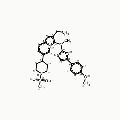 CCc1nc2ccc(C3CCN(S(C)(=O)=O)CC3)cn2c1N(C)c1nc(-c2ccc(OC)cc2)cs1